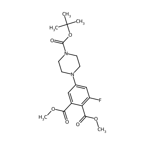 COC(=O)c1cc(N2CCN(C(=O)OC(C)(C)C)CC2)cc(F)c1C(=O)OC